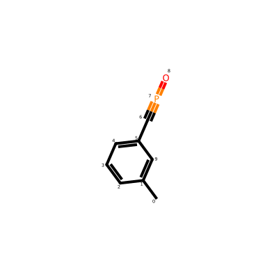 Cc1cccc(C#P=O)c1